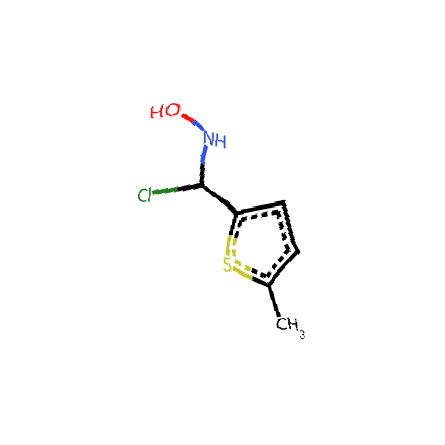 Cc1ccc(C(Cl)NO)s1